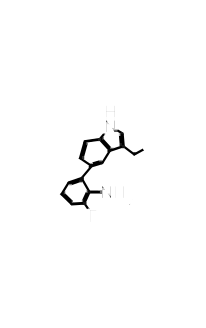 CCc1c[nH]c2ccc(-c3cccc(F)c3N)cc12